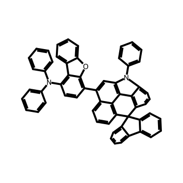 c1ccc(N(c2ccccc2)c2ccc(-c3cc4c5c6c(cccc36)C3(c6ccccc6-c6ccccc63)c3cccc(c35)n4-c3ccccc3)c3oc4ccccc4c23)cc1